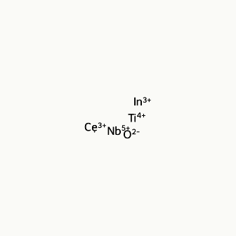 [Ce+3].[In+3].[Nb+5].[O-2].[Ti+4]